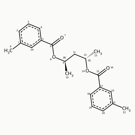 Cc1cccc(C(=O)O[C@H](C)C[C@H](C)OC(=O)c2cccc(C)c2)c1